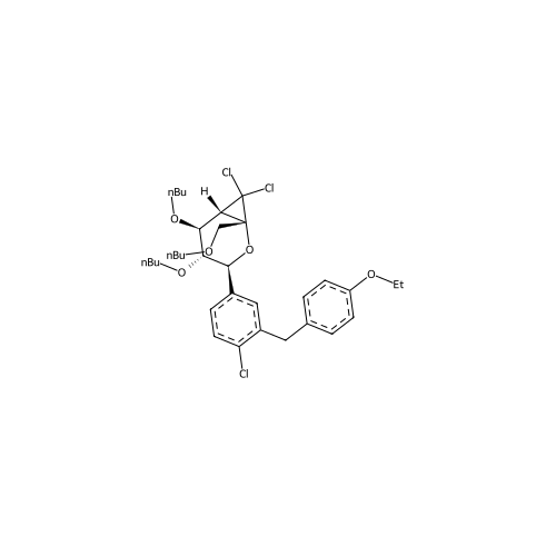 CCCCOC[C@@]12O[C@@H](c3ccc(Cl)c(Cc4ccc(OCC)cc4)c3)[C@H](OCCCC)[C@@H](OCCCC)[C@@H]1C2(Cl)Cl